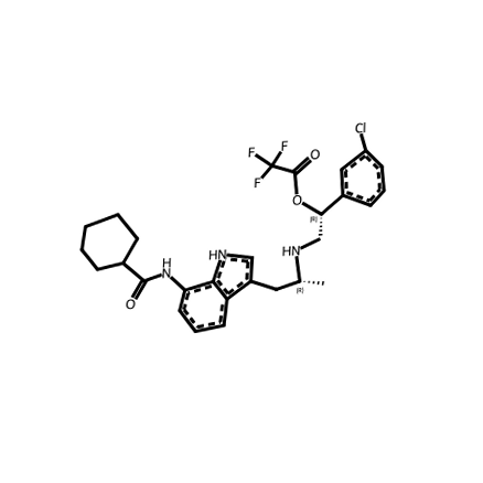 C[C@H](Cc1c[nH]c2c(NC(=O)C3CCCCC3)cccc12)NC[C@H](OC(=O)C(F)(F)F)c1cccc(Cl)c1